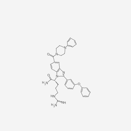 N=C(N)NCCC[C@@H](C(N)=O)n1c(-c2cccc(Oc3ccccc3)c2)nc2cc(C(=O)N3CCN(c4ccccc4)CC3)ccc21